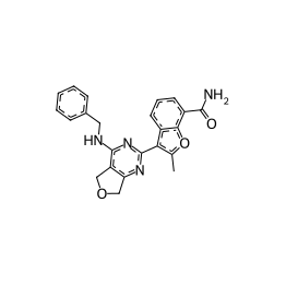 Cc1oc2c(C(N)=O)cccc2c1-c1nc2c(c(NCc3ccccc3)n1)COC2